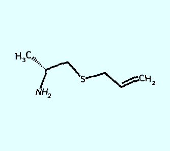 C=CCSC[C@@H](C)N